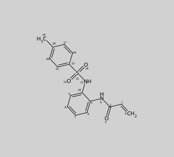 C=CC(=O)Nc1ccccc1NS(=O)(=O)c1ccc(C)cc1